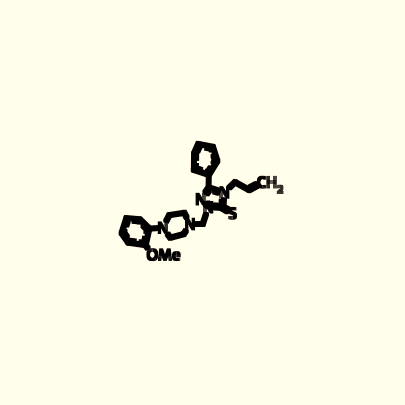 C=CCn1c(-c2ccccc2)nn(CN2CCN(c3ccccc3OC)CC2)c1=S